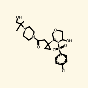 CC(C)(CO)N1CCN(C(=O)CC2([C@H]3COCC(O)N3S(=O)(=O)c3ccc(Cl)cc3)CC2)CC1